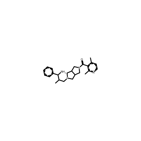 Cc1ccnc(C)c1C(=O)N1CC2CN(CC(C)C(N)c3ccccc3)CC2C1